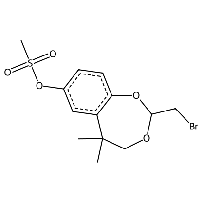 CC1(C)COC(CBr)Oc2ccc(OS(C)(=O)=O)cc21